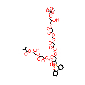 C=C(C)C(=O)OCC(O)COC(=O)CC(=O)OCOC(=O)C(CC(=O)OCOC(=O)CC(=O)OCOC(=O)CC(=O)OCC(O)COC[Si](OC)(OC)OC)CP1(=O)Oc2ccccc2-c2ccccc21